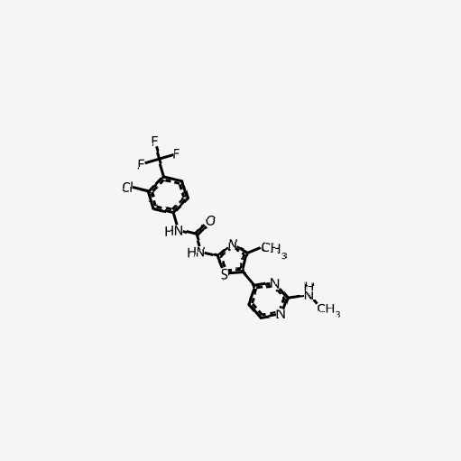 CNc1nccc(-c2sc(NC(=O)Nc3ccc(C(F)(F)F)c(Cl)c3)nc2C)n1